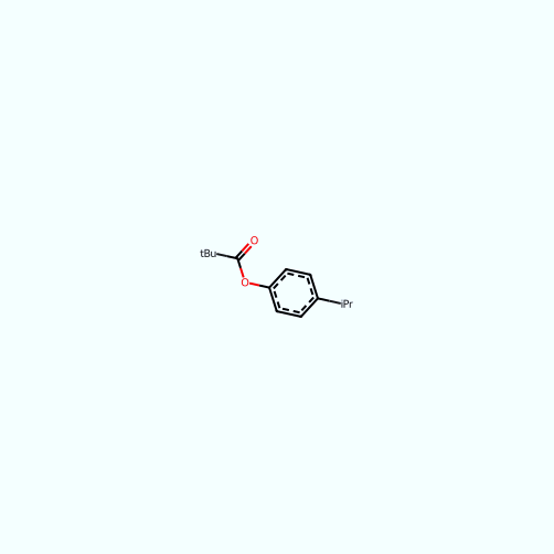 CC(C)c1ccc(OC(=O)C(C)(C)C)cc1